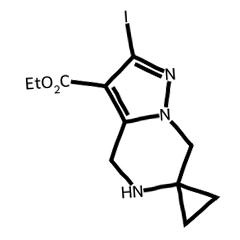 CCOC(=O)c1c(I)nn2c1CNC1(CC1)C2